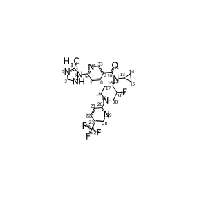 CC1=NCNN1c1ccc(C(=O)N(C2CC2)[C@@H]2CCN(c3ccc(C(F)(F)F)cn3)CC2F)cn1